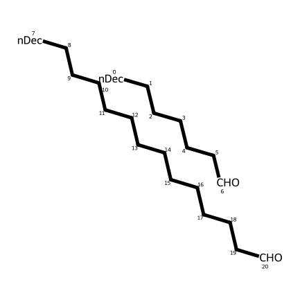 CCCCCCCCCCCCCCCC=O.CCCCCCCCCCCCCCCCCCCCCCC=O